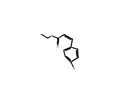 CCOC(=O)/[C]=C\c1ccc(F)cc1